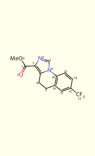 COC(=O)c1ncn2c1CCc1cc(C(F)(F)F)ccc1-2